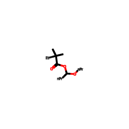 CCCOC(CCC)OC(=O)C(C)(C)CC